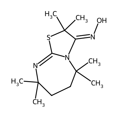 CC1(C)CCC(C)(C)N2C(=N1)SC(C)(C)C2=NO